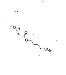 COCCCCOC(=O)/C=C\C(=O)O